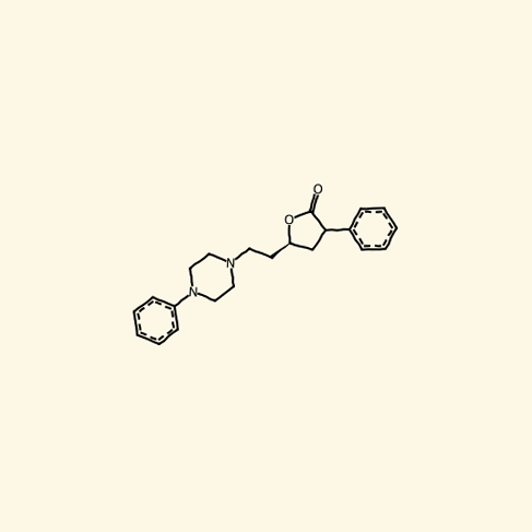 O=C1O[C@H](CCN2CCN(c3ccccc3)CC2)CC1c1ccccc1